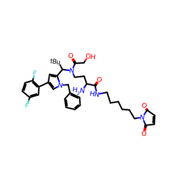 CC(C)(C)C(c1cc(-c2cc(F)ccc2F)cn1Cc1ccccc1)N(CCC(N)C(=O)NCCCCCCN1C(=O)C=CC1=O)C(=O)CO